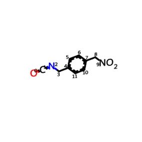 O=C=NCc1ccc(C[N+](=O)[O-])cc1